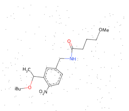 CCC(C)OC(C)c1cc(CNC(=O)CCCOC)ccc1[N+](=O)[O-]